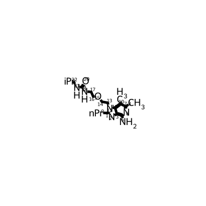 CCCc1nc2c(N)nc(C)c(C)c2n1CCOCCNC(=O)NC(C)C